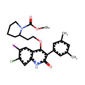 Cc1cc(C)cc(-c2c(OCCC3CCCCN3C(=O)OC(C)(C)C)c3cc(I)c(Cl)cc3[nH]c2=O)c1